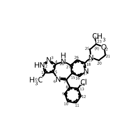 Cc1[nH]nc2c1N=C(c1ccccc1Cl)c1cnc(N3CCO[C@H](C)C3)cc1N2